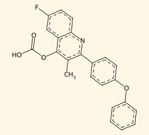 Cc1c(-c2ccc(Oc3ccccc3)cc2)nc2ccc(F)cc2c1OC(=O)O